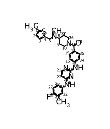 Cc1ccc(CN(C)C2CCN(C(=O)c3ccc(Nc4nccc(Nc5ccc(F)c(C)c5)n4)cc3)CC2)s1